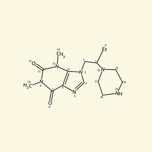 CCC(Cn1cnc2c(=O)n(C)c(=O)n(C)c21)N1CCNCC1